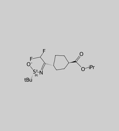 CC(C)OC(=O)[C@H]1CC[C@H](C(=N[S@@+]([O-])C(C)(C)C)C(F)F)CC1